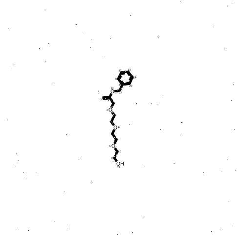 C=C(COCCOCCOCCO)OCc1ccccc1